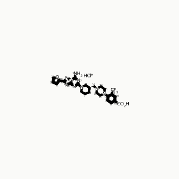 Cl.Nc1nc(N2CCC[C@@H](CN3CCN(c4ccc(C(=O)O)cc4C(F)(F)F)CC3)C2)nc2nc(-c3ccco3)nn12